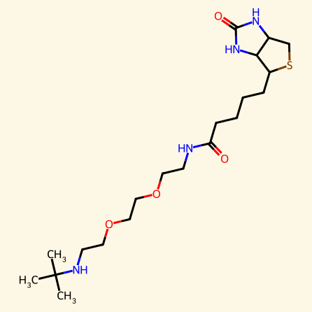 CC(C)(C)NCCOCCOCCNC(=O)CCCCC1SCC2NC(=O)NC21